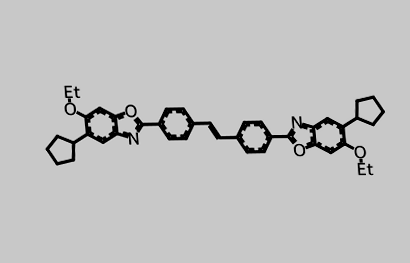 CCOc1cc2oc(-c3ccc(C=Cc4ccc(-c5nc6cc(C7CCCC7)c(OCC)cc6o5)cc4)cc3)nc2cc1C1CCCC1